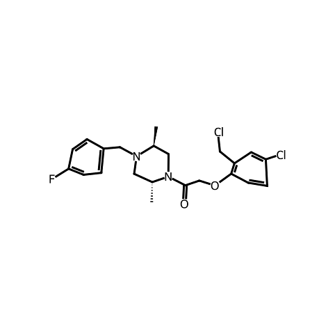 C[C@@H]1CN(Cc2ccc(F)cc2)[C@@H](C)CN1C(=O)COc1ccc(Cl)cc1CCl